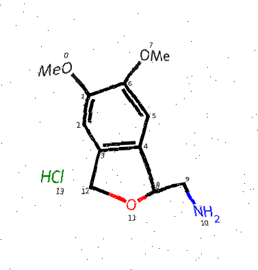 COc1cc2c(cc1OC)C(CN)OC2.Cl